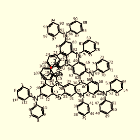 c1ccc(N(c2ccccc2)c2cc3c4c(c2)Sc2c(sc5ccccc25)B4c2cc4c(cc2S3)N(c2ccccc2)c2cc(N(c3ccccc3)c3ccccc3)cc3c2B4c2cc4c(cc2N3c2ccccc2)N(c2ccccc2)c2cc(N(c3ccccc3)c3ccccc3)cc3c2B4c2sc4ccccc4c2S3)cc1